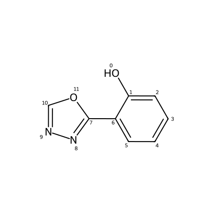 Oc1ccccc1-c1nnco1